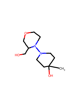 CC1(O)CCN(N2CCOCC2CO)CC1